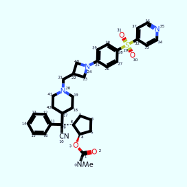 CNC(=O)O[C@@H]1CCC[C@H]1C(C#N)(c1ccccc1)C1CCN(CC2CN(c3ccc(S(=O)(=O)c4ccncc4)cc3)C2)CC1